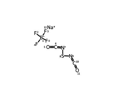 F[B-](F)(F)F.O=C=NSN=C=O.[Na+]